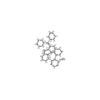 CCCc1cccc2c1-c1cccc3cc(N(c4ccccc4)c4ccccc4)c4oc5cccc-2c5c4c13